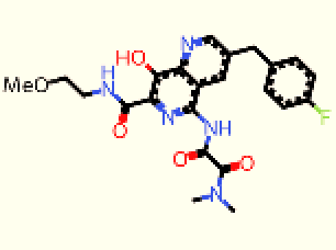 COCCNC(=O)c1nc(NC(=O)C(=O)N(C)C)c2cc(Cc3ccc(F)cc3)cnc2c1O